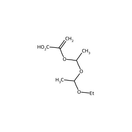 C=C(OC(C)OC(C)OCC)C(=O)O